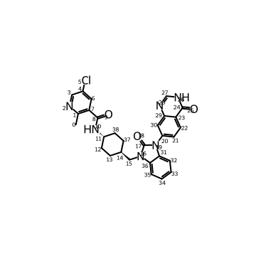 Cc1ncc(Cl)cc1C(=O)N[C@H]1CC[C@H](Cn2c(=O)n(-c3ccc4c(=O)[nH]cnc4c3)c3ccccc32)CC1